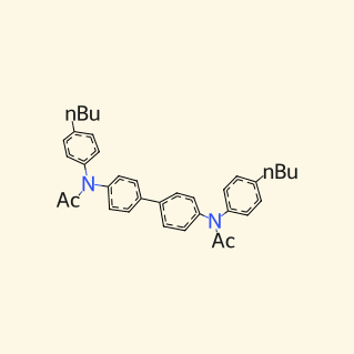 CCCCc1ccc(N(C(C)=O)c2ccc(-c3ccc(N(C(C)=O)c4ccc(CCCC)cc4)cc3)cc2)cc1